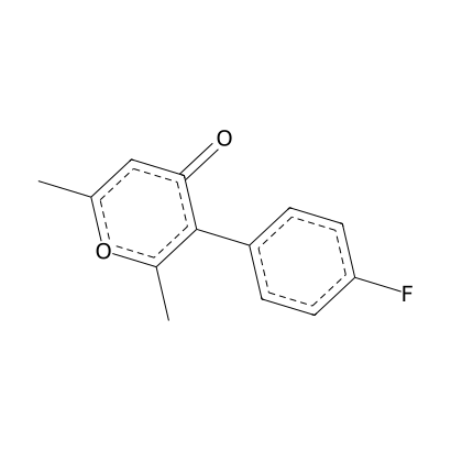 Cc1cc(=O)c(-c2ccc(F)cc2)c(C)o1